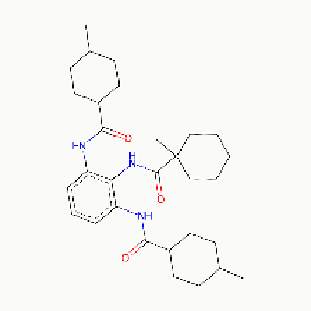 CC1CCC(C(=O)Nc2cccc(NC(=O)C3CCC(C)CC3)c2NC(=O)C2(C)CCCCC2)CC1